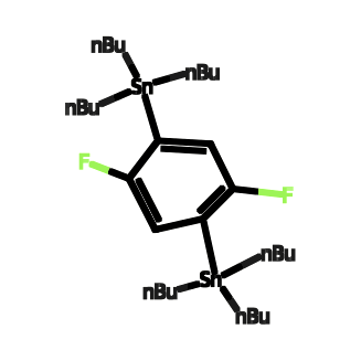 CCC[CH2][Sn]([CH2]CCC)([CH2]CCC)[c]1cc(F)[c]([Sn]([CH2]CCC)([CH2]CCC)[CH2]CCC)cc1F